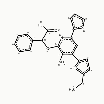 CCc1ccc(-c2cc(-c3cccs3)nc(OC(C(=O)O)c3ccccc3)c2N)o1